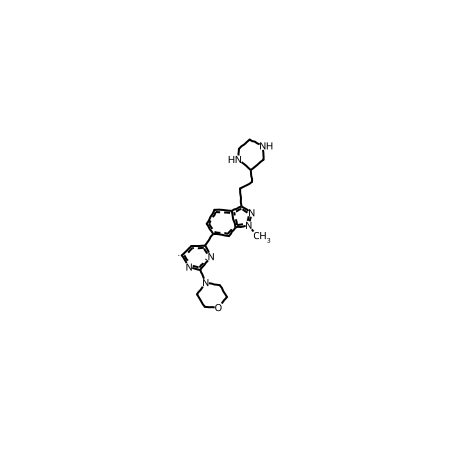 Cn1nc(CCC2CNCCN2)c2ccc(-c3c[c]nc(N4CCOCC4)n3)cc21